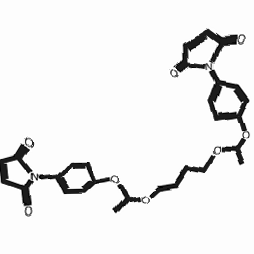 CC(OCCCCOC(C)Oc1ccc(N2C(=O)C=CC2=O)cc1)Oc1ccc(N2C(=O)C=CC2=O)cc1